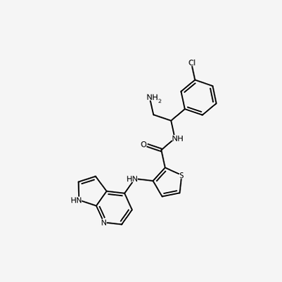 NCC(NC(=O)c1sccc1Nc1ccnc2[nH]ccc12)c1cccc(Cl)c1